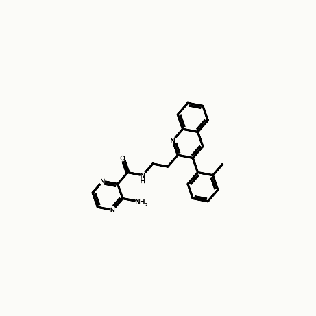 Cc1ccccc1-c1cc2ccccc2nc1CCNC(=O)c1nccnc1N